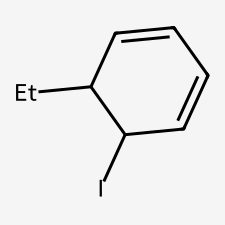 CCC1C=CC=CC1I